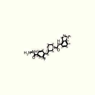 Cn1ncc2c(NC(=O)N3CCSC(Cc4ccc(C(=O)NN)cc4F)C3)cccc21